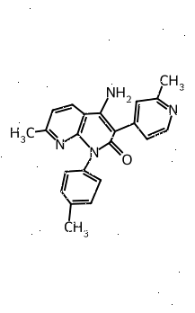 Cc1ccc(-n2c(=O)c(-c3ccnc(C)c3)c(N)c3ccc(C)nc32)cc1